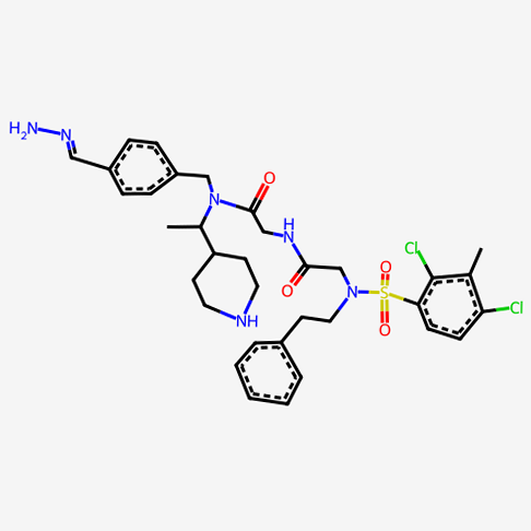 Cc1c(Cl)ccc(S(=O)(=O)N(CCc2ccccc2)CC(=O)NCC(=O)N(Cc2ccc(C=NN)cc2)C(C)C2CCNCC2)c1Cl